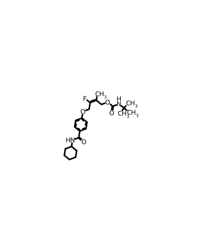 CC(COC(=O)NC(C)(C)C)=C(F)COc1ccc(C(=O)NC2CCCCC2)cc1